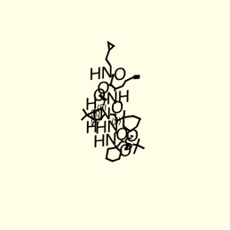 C#CCCC(NC(=O)[C@@H]1[C@@H]2[C@H](CN1C(=O)[C@@H](NC(=O)NC1(CS(=O)(=O)C(C)(C)C)CCCCC1)C1(C)CCCCC1)C2(C)C)C(=O)C(=O)NCCC1CC1